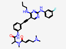 CCCNc1nc(Nc2cccc(F)c2)ncc1C#Cc1cccc(NC(=O)C(C)N(C)C(=O)C=CCN(C)C)c1